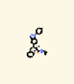 CC(C)(C(=O)NC1CC1)C(Cc1ccccc1)c1ccc2c(cnn2-c2ccc(F)cc2)c1